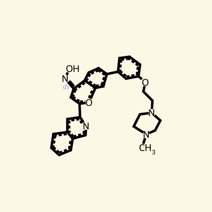 CN1CCN(CCOc2cccc(-c3ccc4/c(=N\O)cc(-c5cc6ccccc6cn5)oc4c3)c2)CC1